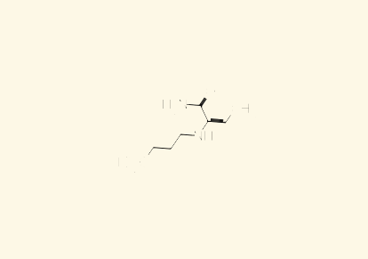 C/C=C(/NCCCC(=O)O)C(N)=O